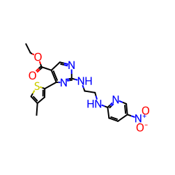 CCOC(=O)c1cnc(NCCNc2ccc([N+](=O)[O-])cn2)nc1-c1cc(C)cs1